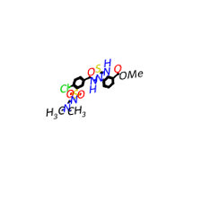 COC(=O)c1cccc2c1[nH]c(=S)n2NC(=O)c1ccc(Cl)c(S(=O)(=O)N=CN(C)C)c1